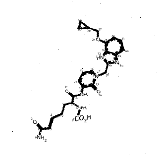 NC(=O)/C=C/CCC(NC(=O)O)C(=O)Nc1cccn(Cc2nc3cccc(OCC4CC4)c3[nH]2)c1=O